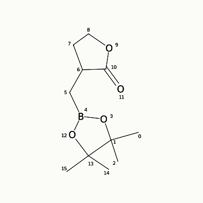 CC1(C)OB(CC2CCOC2=O)OC1(C)C